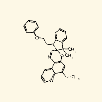 CCc1cc2c(c3cccnc13)N=CC1(O2)N(CCOc2ccccc2)c2ccccc2C1(C)C